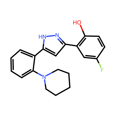 Oc1ccc(F)cc1-c1cc(-c2ccccc2N2CCCCC2)[nH]n1